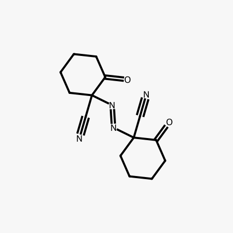 N#CC1(N=NC2(C#N)CCCCC2=O)CCCCC1=O